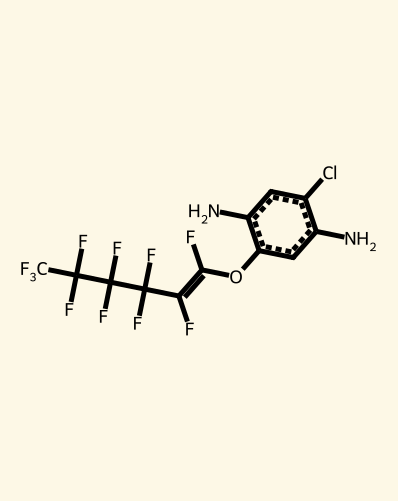 Nc1cc(OC(F)=C(F)C(F)(F)C(F)(F)C(F)(F)C(F)(F)F)c(N)cc1Cl